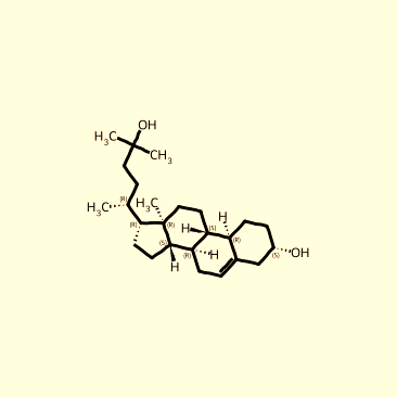 C[C@H](CCC(C)(C)O)[C@H]1CC[C@H]2[C@@H]3CC=C4C[C@@H](O)CC[C@@H]4[C@H]3CC[C@]12C